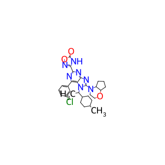 CC1CCC(C(C)n2c(N3CCOC4CCCC43)nc3nc(-c4noc(=O)[nH]4)nc(-c4cccc(Cl)c4)c32)CC1